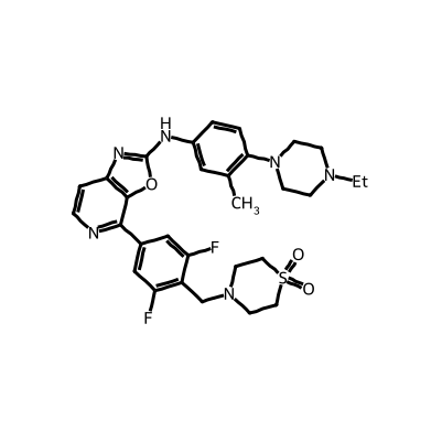 CCN1CCN(c2ccc(Nc3nc4ccnc(-c5cc(F)c(CN6CCS(=O)(=O)CC6)c(F)c5)c4o3)cc2C)CC1